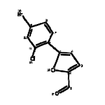 O=Cc1ccc(-c2ccc(Br)cc2Cl)o1